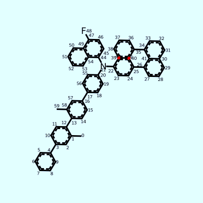 Cc1cc(-c2ccccc2)ccc1-c1ccc(-c2ccc(N(c3ccc(-c4cccc5cccc(-c6ccccc6)c45)cc3)c3ccc(F)c4ccccc34)cc2)cc1C